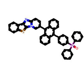 O=P(c1ccccc1)(c1ccccc1)c1ccc(-c2c3ccccc3c(-c3ccc4nc5c6ccccc6sc5n4c3)c3ccccc23)cc1